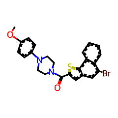 COc1ccc(N2CCN(C(=O)c3cc4cc(Br)c5ccccc5c4s3)CC2)cc1